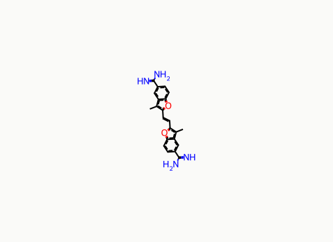 Cc1c(/C=C/c2oc3ccc(C(=N)N)cc3c2C)oc2ccc(C(=N)N)cc12